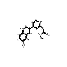 CC(C)(C)OC(=O)Nc1cc(-c2cnc3ccc(Cl)nc3c2)ccn1